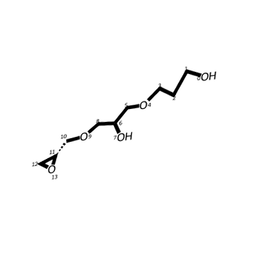 OCCCOCC(O)COC[C@H]1CO1